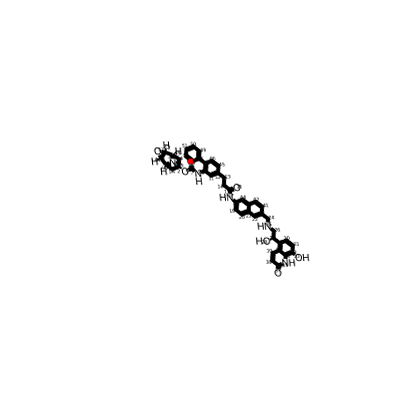 C[N+]1(C)[C@@H]2C[C@@H](OC(=O)Nc3cc(CCC(=O)Nc4ccc5cc(CNC[C@H](O)c6ccc(O)c7[nH]c(=O)ccc67)ccc5c4)ccc3-c3ccccc3)C[C@H]1[C@@H]1O[C@@H]12